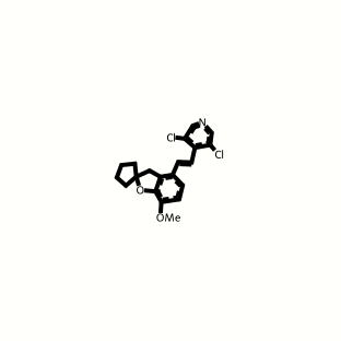 COc1ccc(C=Cc2c(Cl)cncc2Cl)c2c1OC1(CCCC1)C2